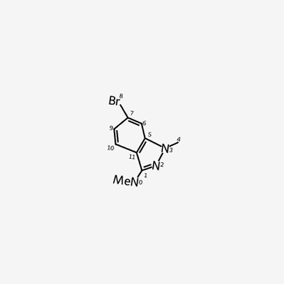 CNc1nn(C)c2cc(Br)ccc12